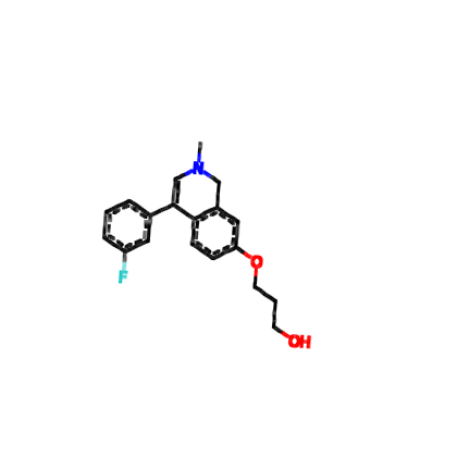 CN1C=C(c2cccc(F)c2)c2ccc(OCCCO)cc2C1